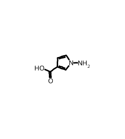 Nn1ccc(C(=O)O)c1